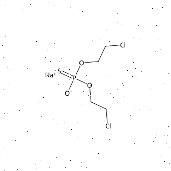 [Na+].[O-]P(=S)(OCCCl)OCCCl